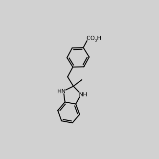 CC1(Cc2ccc(C(=O)O)cc2)Nc2ccccc2N1